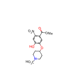 COC(=O)c1cc(OC2CCN(C(=O)O)CC2)c(O)cc1[N+](=O)[O-]